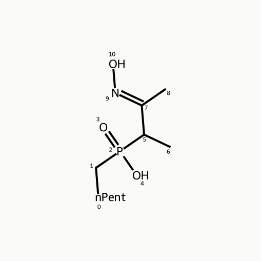 CCCCCCP(=O)(O)C(C)C(C)=NO